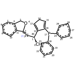 C[C@@H](/N=C1\OCc2ccccc21)C1=CCC=C1P(c1ccccc1)c1ccccc1